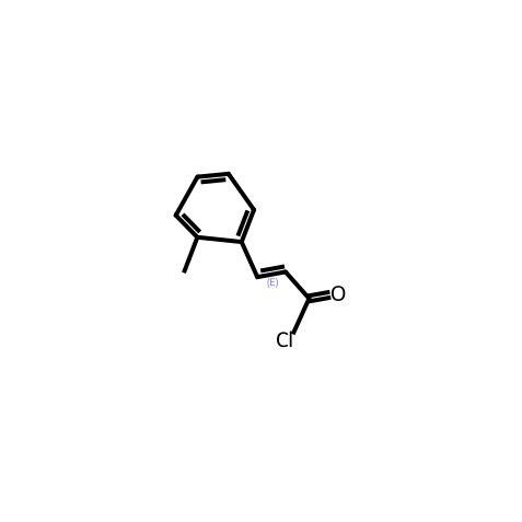 Cc1ccccc1/C=C/C(=O)Cl